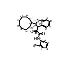 O=C(Nc1ccccc1F)C(=O)C1c2ccccc2NC1C1CCCCCCCC1